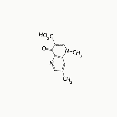 Cc1cnc2c(=O)c(C(=O)O)cn(C)c2c1